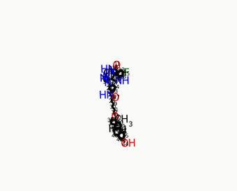 Cn1ncnc1[C@H]1c2n[nH]c(=O)c3cc(F)cc(c23)N[C@@H]1c1ccc(NC(=O)CCCCCO[C@H]2CC[C@H]3[C@@H]4CCc5cc(O)ccc5[C@H]4CC[C@]23C)cc1